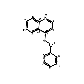 c1ccc(OCc2ccnc3ccccc23)cc1